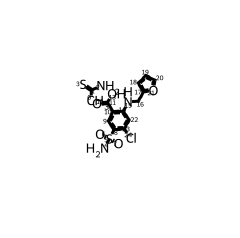 CC(N)=S.NS(=O)(=O)c1cc(C(=O)O)c(NCc2ccco2)cc1Cl